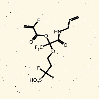 C=CCNC(=O)C(OCCC(F)(F)S(=O)(=O)O)(OC(=O)C(=C)F)C(F)(F)F